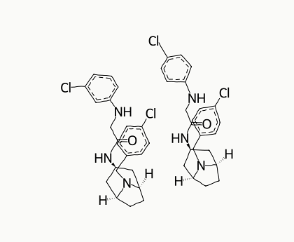 O=C(CNc1ccc(Cl)cc1)N[C@H]1C[C@H]2CC[C@@H](C1)N2Cc1ccc(Cl)cc1.O=C(CNc1cccc(Cl)c1)N[C@H]1C[C@H]2CC[C@@H](C1)N2Cc1ccc(Cl)cc1